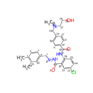 Cc1ccc(C=NNC(=O)c2cc(Cl)ccc2NC(=O)c2ccc(CN(C)CCO)cc2)cc1C